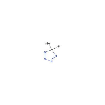 CCCCC1(C(C)C)N=NN=N1